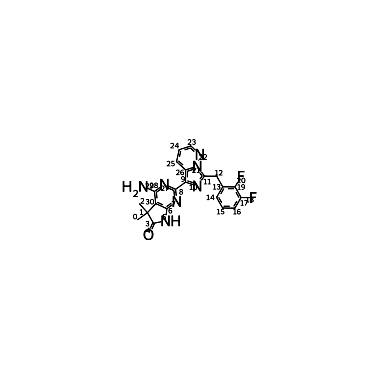 CC1(C)C(=O)Nc2nc(-c3nc(Cc4cccc(F)c4F)n4ncccc34)nc(N)c21